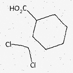 ClCCl.O=C(O)C1CCCCC1